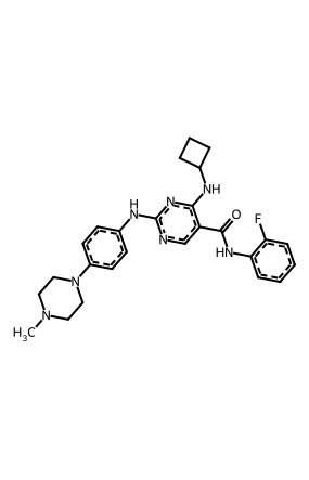 CN1CCN(c2ccc(Nc3ncc(C(=O)Nc4ccccc4F)c(NC4CCC4)n3)cc2)CC1